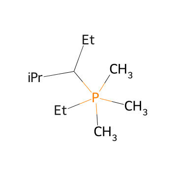 CCC(C(C)C)P(C)(C)(C)CC